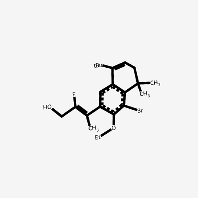 CCOc1c(C(C)=C(F)CO)cc2c(c1Br)C(C)(C)CC=C2C(C)(C)C